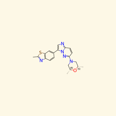 Cc1nc2ccc(-c3cnc4ccc(N5C[C@@H](C)O[C@@H](C)C5)nn34)cc2s1